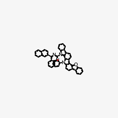 c1ccc(-n2c3ccc4c5ccccc5oc4c3c3ccc4c5ccccc5n(-c5nc(-c6ccc7ccccc7c6)c6ccccc6n5)c4c32)cc1